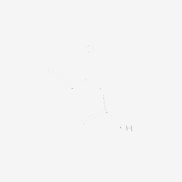 CC(=O)O[C@@H](C)[C]=O